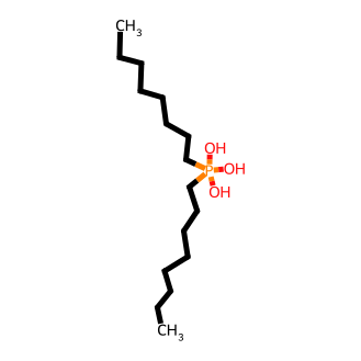 CCCCCCCCP(O)(O)(O)CCCCCCCC